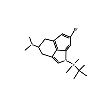 CN(C)C1Cc2cc(Br)cc3c2c(cn3[Si](C)(C)C(C)(C)C)C1